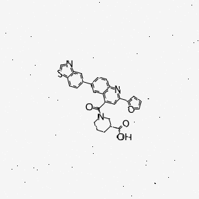 O=C(O)C1CCCN(C(=O)c2cc(-c3ccco3)nc3ccc(-c4ccc5scnc5c4)cc23)C1